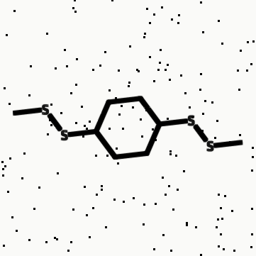 CSSC1CCC(SSC)CC1